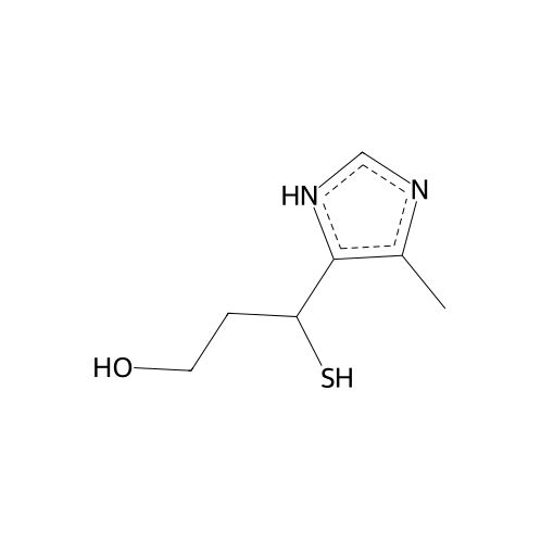 Cc1nc[nH]c1C(S)CCO